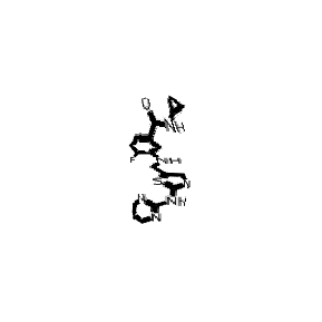 O=C(NC1CC1)c1ccc(F)c(NCc2cnc(Nc3ncccn3)s2)c1